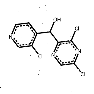 OC(c1ccncc1Cl)c1ncc(Cl)nc1Cl